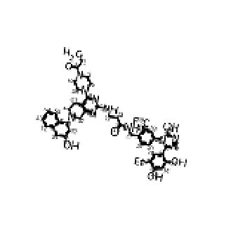 C=CC(=O)N1CCN(c2nc(NCCC(=O)NCc3ccc(-n4c(O)nnc4-c4cc(CC)c(O)cc4O)cc3C(F)(F)F)nc3c2CCN(c2cc(O)cc4ccccc24)C3)CC1